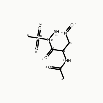 CC(=O)NC(CN=O)C(=O)N(S)S(C)(=O)=O